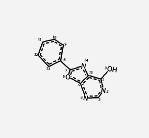 Oc1ncnc2oc(-c3ccccc3)nc12